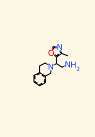 Cc1ncoc1C(CN)N1CCc2ccccc2C1